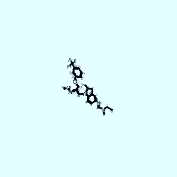 CCN(C)/C=N/c1ccc2c(c1)CC(C)N2C/C(COc1cccc(C(F)(F)F)c1)=N/OC